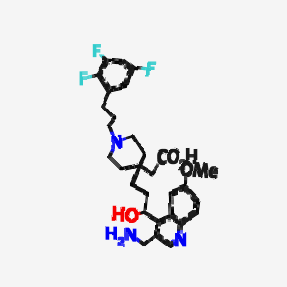 COc1ccc2ncc(CN)c(C(O)CCC3(CC(=O)O)CCN(CCCc4cc(F)cc(F)c4F)CC3)c2c1